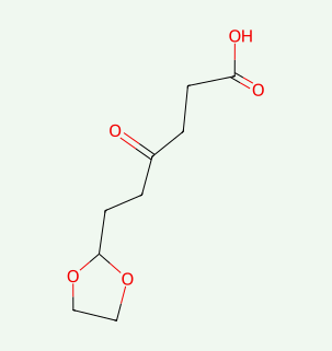 O=C(O)CCC(=O)CCC1OCCO1